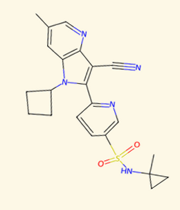 Cc1cnc2c(C#N)c(-c3ccc(S(=O)(=O)NC4(C)CC4)cn3)n(C3CCC3)c2c1